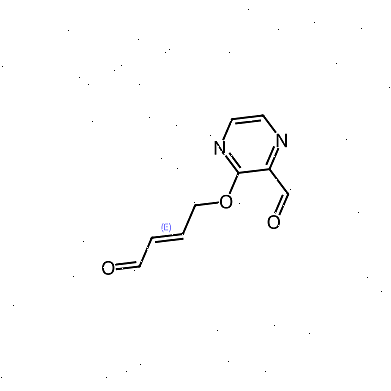 O=C/C=C/COc1nccnc1C=O